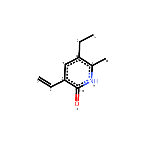 C=Cc1cc(CC)c(C)[nH]c1=O